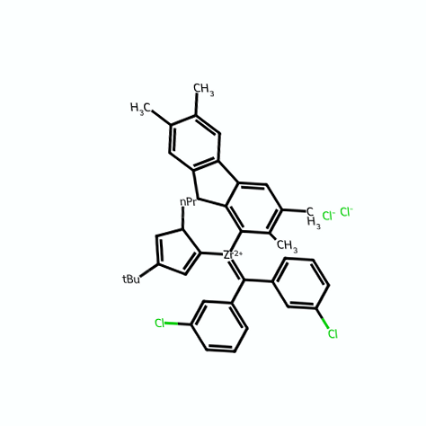 CCCC1C=C(C(C)(C)C)C=[C]1[Zr+2](=[C](c1cccc(Cl)c1)c1cccc(Cl)c1)[c]1c(C)c(C)cc2c1Cc1cc(C)c(C)cc1-2.[Cl-].[Cl-]